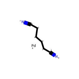 N#CCCCCC#N.[Pd]